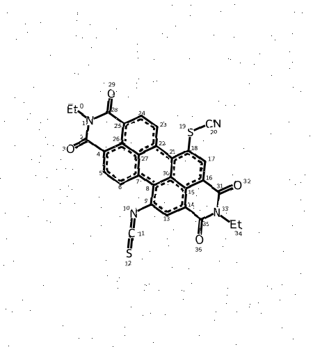 CCN1C(=O)c2ccc3c4c(N=C=S)cc5c6c(cc(SC#N)c(c7ccc(c2c37)C1=O)c64)C(=O)N(CC)C5=O